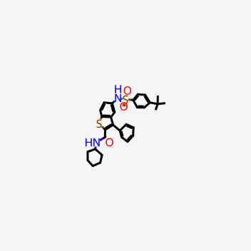 CC(C)(C)c1ccc(S(=O)(=O)Nc2ccc3sc(C(=O)NC4CCCCC4)c(-c4ccccc4)c3c2)cc1